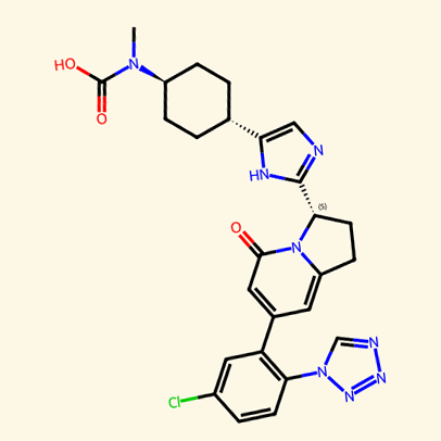 CN(C(=O)O)[C@H]1CC[C@H](c2cnc([C@@H]3CCc4cc(-c5cc(Cl)ccc5-n5cnnn5)cc(=O)n43)[nH]2)CC1